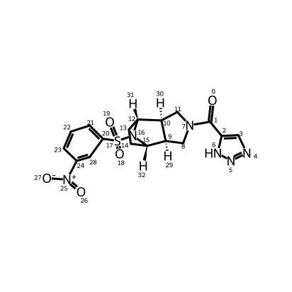 O=C(c1cnn[nH]1)N1C[C@@H]2[C@H](C1)[C@H]1CC[C@@H]2N1S(=O)(=O)c1cccc([N+](=O)[O-])c1